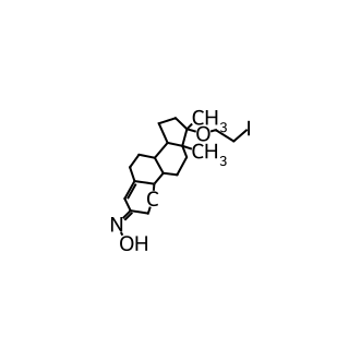 CC1(OCCI)CCC2C3CCC4=C/C(=N/O)CCC4C3CCC21C